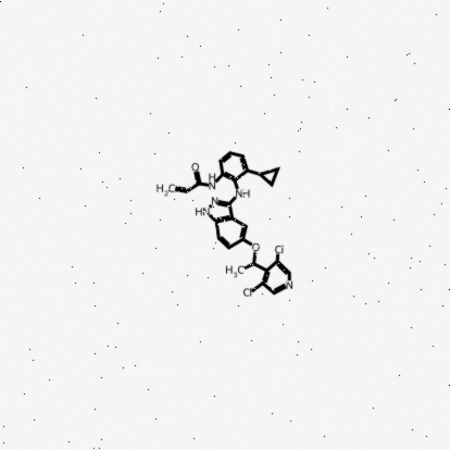 C=CC(=O)Nc1cccc(C2CC2)c1Nc1n[nH]c2ccc(OC(C)c3c(Cl)cncc3Cl)cc12